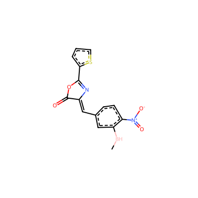 CBc1cc(/C=C2\N=C(c3cccs3)OC2=O)ccc1[N+](=O)[O-]